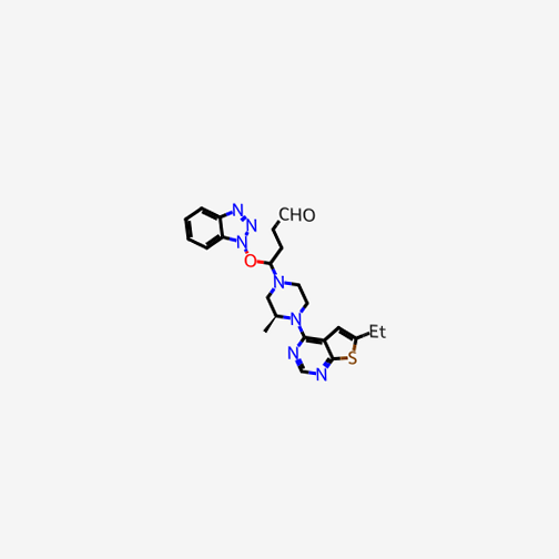 CCc1cc2c(N3CCN(C(CCC=O)On4nnc5ccccc54)C[C@@H]3C)ncnc2s1